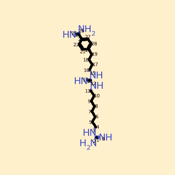 N=C(N)NCCCCCCCCNC(=N)NCCCCc1ccc(C(=N)N)cc1